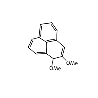 COC1=Cc2cccc3cccc(c23)C1OC